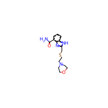 NC(=O)c1cccc2[nH]c(CSCCN3CCOCC3)nc12